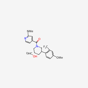 CNc1cc(C(=O)N2CCCC(c3ccc(OC)cc3C(F)(F)F)C2)ccn1.O=CO